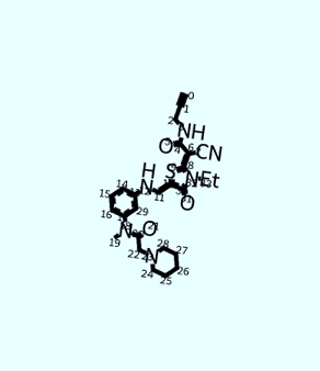 C#CCNC(=O)C(C#N)=c1sc(=CNc2cccc(N(C)C(=O)CN3CCCCC3)c2)c(=O)n1CC